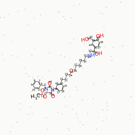 CC(=O)O[N+]1(Cc2ccccc2)CC(=O)N(c2cccc(CCCCOCCCCCCNC[C@@H](O)c3ccc(O)c(CO)c3)c2)C1=O